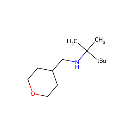 CC(C)(C)C(C)(C)NCC1CCOCC1